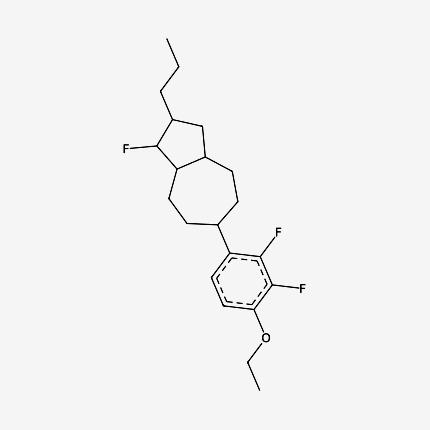 CCCC1CC2CCC(c3ccc(OCC)c(F)c3F)CCC2C1F